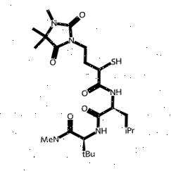 CNC(=O)[C@@H](NC(=O)[C@H](CC(C)C)NC(=O)C(S)CCN1C(=O)N(C)C(C)(C)C1=O)C(C)(C)C